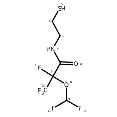 O=C(NCCS)C(F)(OC(F)F)C(F)(F)F